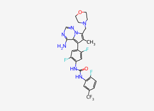 Cc1c(-c2cc(F)c(NC(=O)Nc3cc(C(F)(F)F)ccc3F)cc2F)c2c(N)ncnn2c1CN1CCOCC1